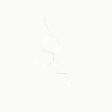 N#[N+]c1ccc(S(=O)(=O)CCO)cc1.[Cl-]